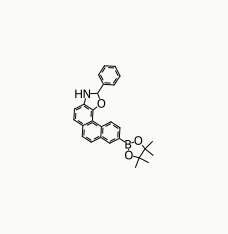 CC1(C)OB(c2ccc3c(ccc4ccc5c(c43)OC(c3ccccc3)N5)c2)OC1(C)C